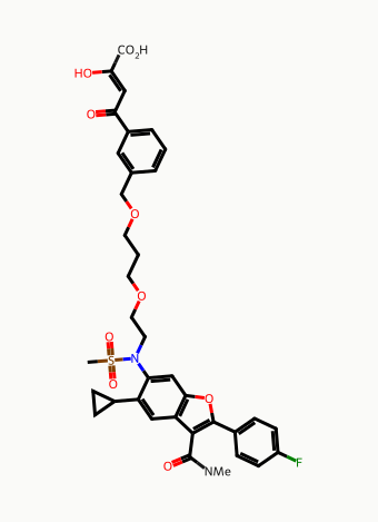 CNC(=O)c1c(-c2ccc(F)cc2)oc2cc(N(CCOCCCOCc3cccc(C(=O)/C=C(\O)C(=O)O)c3)S(C)(=O)=O)c(C3CC3)cc12